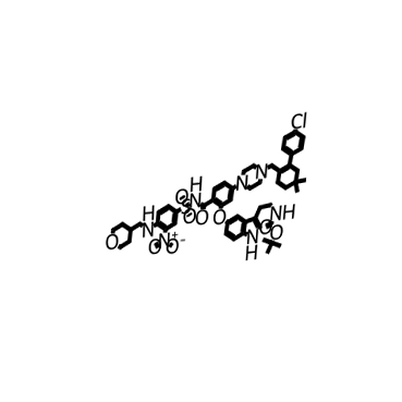 CC1(C)CCC(CN2CCN(c3ccc(C(=O)NS(=O)(=O)c4ccc(NCC5CCOCC5)c([N+](=O)[O-])c4)c(Oc4ccc5[nH]cc(CCNC(=O)OC(C)(C)C)c5c4)c3)CC2)=C(c2ccc(Cl)cc2)C1